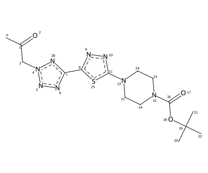 CC(=O)Cn1nnc(-c2nnc(N3CCN(C(=O)OC(C)(C)C)CC3)s2)n1